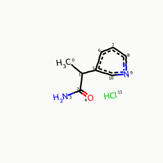 CC(C(N)=O)c1cccnc1.Cl